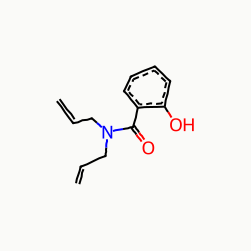 C=CCN(CC=C)C(=O)c1ccccc1O